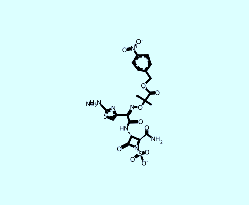 CC(C)(O/N=C(\C(=O)N[C@H]1C(=O)N(S(=O)(=O)[O-])[C@@H]1C(N)=O)c1csc(N)n1)C(=O)OCc1ccc([N+](=O)[O-])cc1.[Na+]